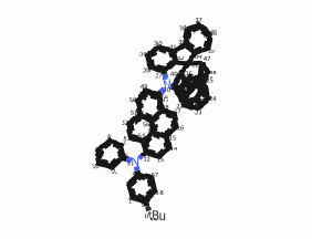 CC(C)(C)c1ccc(N(c2ccccc2)c2ccc3ccc4c(N(c5ccccc5)c5cccc6c5C5(c7ccccc7-6)C6CC7CC(C6)CC5C7)ccc5ccc2c3c54)cc1